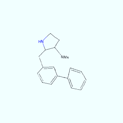 CNC1CCNC1Cc1cccc(-c2ccccc2)c1